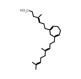 CC(C)=CCC/C(C)=C/CCC1=CCCC=C(CC/C=C(\C)CCC(=O)O)C1